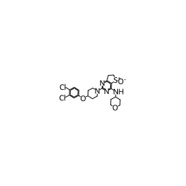 [O-][S+]1CCc2nc(N3CCC(Oc4ccc(Cl)c(Cl)c4)CC3)nc(NC3CCOCC3)c21